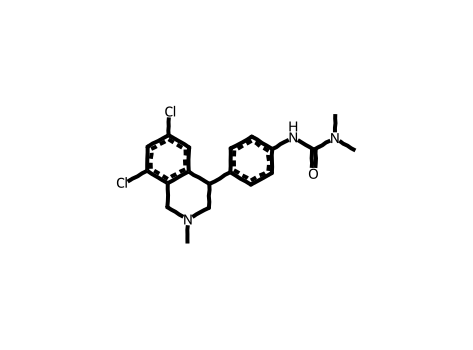 CN1Cc2c(Cl)cc(Cl)cc2C(c2ccc(NC(=O)N(C)C)cc2)C1